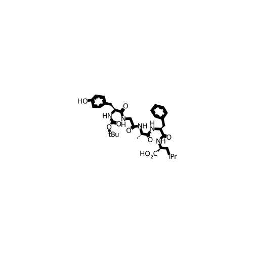 CC(C)C[C@H](NC(=O)[C@H](Cc1ccccc1)NC(=O)[C@H](C)NC(=O)CNC(=O)[C@H](Cc1ccc(O)cc1)NC(=O)OC(C)(C)C)C(=O)O